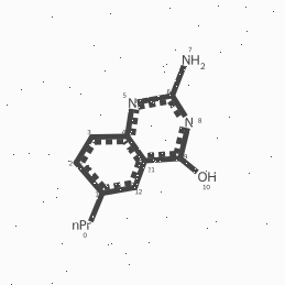 CCCc1ccc2nc(N)nc(O)c2c1